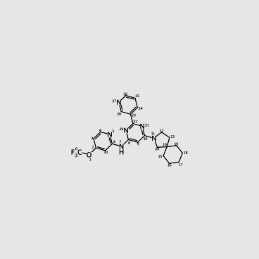 FC(F)(F)Oc1ccnc(Nc2cc(N3CCC4(CCCCC4)C3)nc(-c3cccnc3)n2)c1